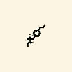 C=CC(=O)C(C)(O)Cc1ccc(CCC)cc1